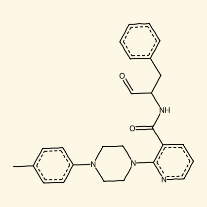 Cc1ccc(N2CCN(c3ncccc3C(=O)NC(C=O)Cc3ccccc3)CC2)cc1